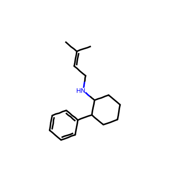 CC(C)=CCNC1CCCCC1c1ccccc1